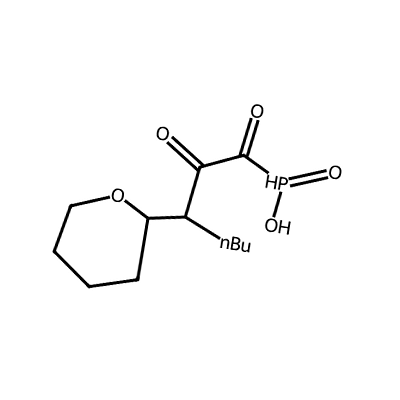 CCCCC(C(=O)C(=O)[PH](=O)O)C1CCCCO1